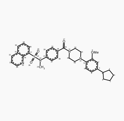 COc1cc(C2CCCC2)ccc1N1CCN(C(=O)c2ccc(N(C)S(=O)(=O)c3cccc4cccnc34)cc2)CC1